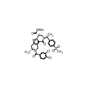 CNC(=O)[C@@H]1CN([C@@H](C)c2ccc(S(C)(=O)=O)cc2)C(=O)c2c3c(nn21)C[C@@H](C)N(C(=O)c1ccc(Cl)c(Cl)c1)C3